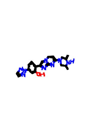 CC1CN(c2ccn3cc(-c4ccc(-n5nccn5)cc4O)nc3n2)CC(C)N1